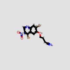 N#CCCCOc1cc2c(Br)c([N+](=O)[O-])cnc2cc1Br